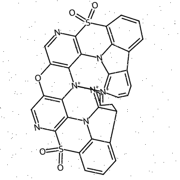 O=S1(=O)c2ncc3c4c2-n2c5c1cccc5c1ccc[n+](c12)[N+]41c2c(cnc4c2-n2c5c(cccc5c5ccc[n+]1c52)S4(=O)=O)O3